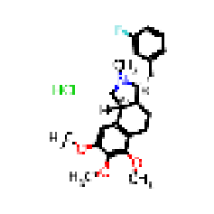 COc1cc2c(c(OC)c1OC)CCC1[C@@H](Cc3cccc(F)c3)N(C)C[C@@H]21.Cl